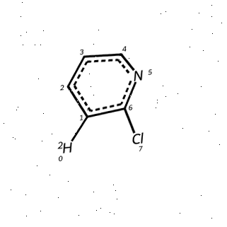 [2H]c1cccnc1Cl